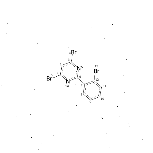 Brc1cc(Br)nc(-c2ccccc2Br)n1